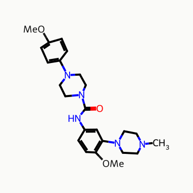 COc1ccc(N2CCN(C(=O)Nc3ccc(OC)c(N4CCN(C)CC4)c3)CC2)cc1